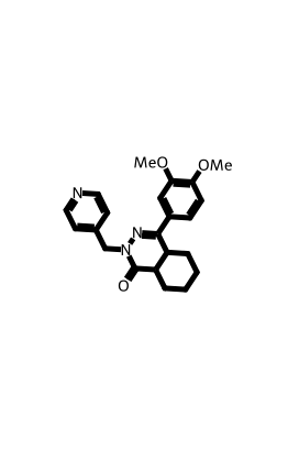 COc1ccc(C2=NN(Cc3ccncc3)C(=O)C3CCCCC23)cc1OC